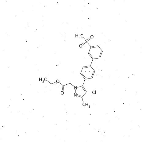 CCOC(=O)Cn1nc(C)c(Cl)c1-c1ccc(-c2cccc(S(C)(=O)=O)c2)cc1